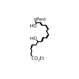 CCCCCC(O)/C=C/C=C\C/C=C\C=C\C(O)C/C=C\CCC(=O)OCC